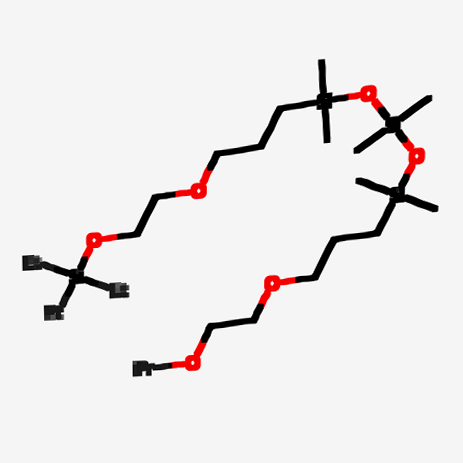 CC[Si](CC)(CC)OCCOCCC[Si](C)(C)O[Si](C)(C)O[Si](C)(C)CCCOCCOC(C)C